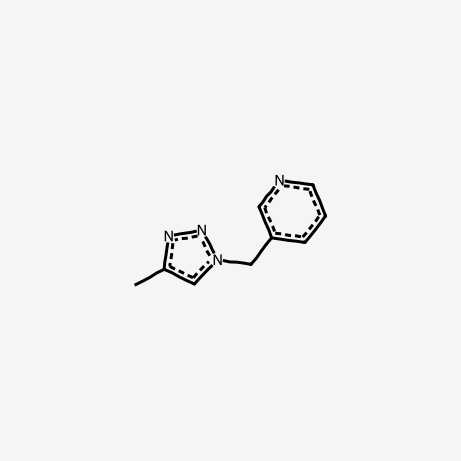 Cc1cn(Cc2cccnc2)nn1